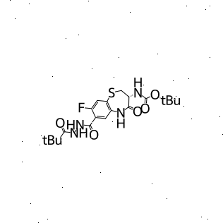 CC(C)(C)OC(=O)N[C@H]1CSc2cc(F)c(C(=O)NNC(=O)C(C)(C)C)cc2NC1=O